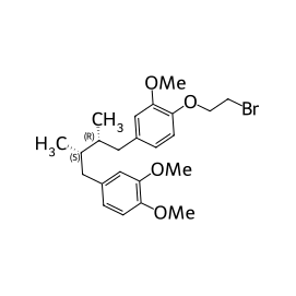 COc1ccc(C[C@H](C)[C@H](C)Cc2ccc(OCCBr)c(OC)c2)cc1OC